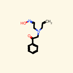 C=CCN(C/C=N\O)CC(=O)c1ccccc1